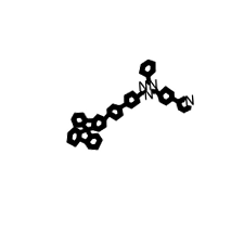 c1ccc(-c2nc(-c3ccc(-c4ccc(-c5ccc6c(c5)-c5ccccc5C65c6ccccc6-c6ccccc65)cc4)cc3)nc(-c3ccc(-c4cccnc4)cc3)n2)cc1